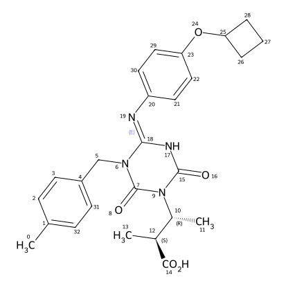 Cc1ccc(Cn2c(=O)n([C@H](C)[C@H](C)C(=O)O)c(=O)[nH]/c2=N\c2ccc(OC3CCC3)cc2)cc1